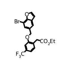 CCOC(=O)Cc1ccc(C(F)(F)F)cc1OCc1cc(Br)c2occc2c1